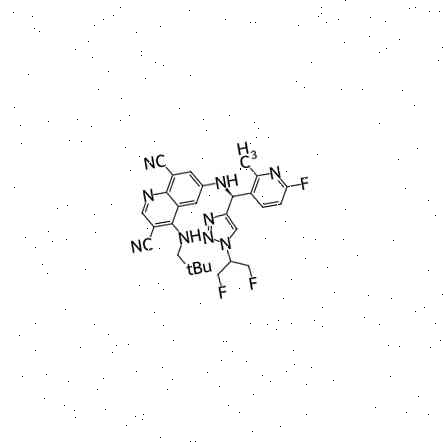 Cc1nc(F)ccc1[C@H](Nc1cc(C#N)c2ncc(C#N)c(NCC(C)(C)C)c2c1)c1cn(C(CF)CF)nn1